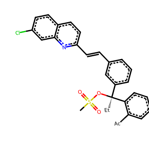 CC[C@](OS(C)(=O)=O)(c1cccc(/C=C/c2ccc3ccc(Cl)cc3n2)c1)c1ccccc1C(C)=O